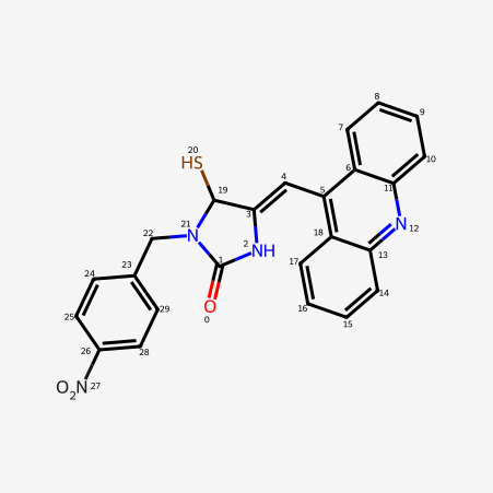 O=C1NC(=Cc2c3ccccc3nc3ccccc23)C(S)N1Cc1ccc([N+](=O)[O-])cc1